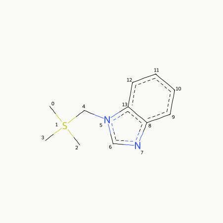 CS(C)(C)Cn1cnc2ccccc21